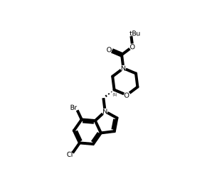 CC(C)(C)OC(=O)N1CCO[C@H](Cn2ccc3cc(Cl)cc(Br)c32)C1